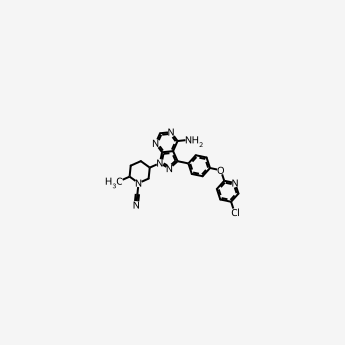 CC1CCC(n2nc(-c3ccc(Oc4ccc(Cl)cn4)cc3)c3c(N)ncnc32)CN1C#N